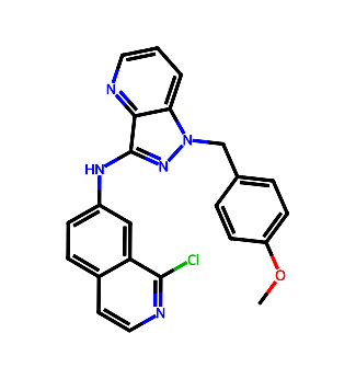 COc1ccc(Cn2nc(Nc3ccc4ccnc(Cl)c4c3)c3ncccc32)cc1